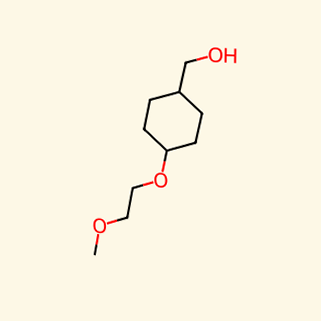 COCCOC1CCC(CO)CC1